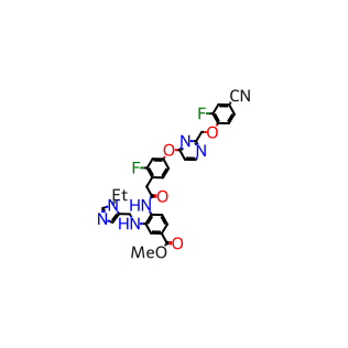 CCn1cncc1CNc1cc(C(=O)OC)ccc1NC(=O)Cc1ccc(Oc2ccnc(COc3ccc(C#N)cc3F)n2)cc1F